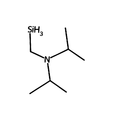 CC(C)N(C[SiH3])C(C)C